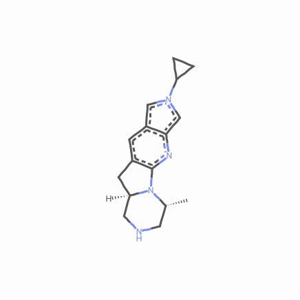 C[C@@H]1CNC[C@H]2Cc3cc4cn(C5CC5)cc4nc3N21